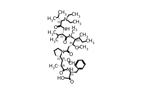 CC[C@H](C)[C@@H]([C@@H](CC(=O)N1CCC[C@H]1[C@H](OC)[C@@H](C)C(=O)N[C@@H](Cc1ccccc1)C(=O)O)OC)N(C)C(=O)[C@@H](NC(=O)[C@H](C(C)C)N(CC)CC)C(C)C